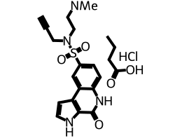 C#CCN(CCNC)S(=O)(=O)c1ccc2[nH]c(=O)c3[nH]ccc3c2c1.CCCC(=O)O.Cl